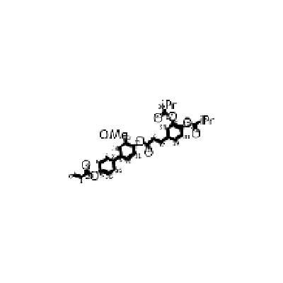 C=CC(=O)Oc1ccc(-c2ccc(OC(=O)CCc3ccc(OC(=O)C(C)C)c(OC(=O)C(C)C)c3)c(OC)c2)cc1